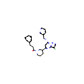 O=C(CCc1ccccc1)N1CCCC(c2cc(NCc3cccnc3)n3ncc(Br)c3n2)C1